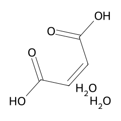 O.O.O=C(O)/C=C\C(=O)O